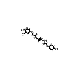 O=C(COc1ccc(Cl)cc1)NC12CC(NC(=O)COc3ccc(Cl)c(Cl)c3)(C1)C2